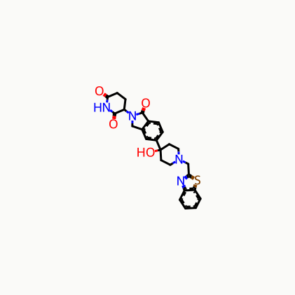 O=C1CCC(N2Cc3cc(C4(O)CCN(Cc5nc6ccccc6s5)CC4)ccc3C2=O)C(=O)N1